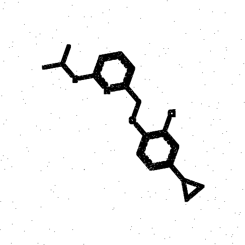 CC(C)Sc1cccc(COc2ccc(C3CC3)cc2Cl)n1